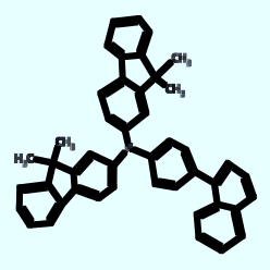 CC1(C)c2ccccc2-c2ccc(N(c3ccc(-c4cccc5ccccc45)cc3)c3ccc4c(c3)C(C)(C)c3ccccc3-4)cc21